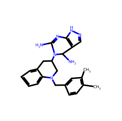 Cc1ccc(CN2CC(N3C(N)=Nc4[nH]ncc4C3N)Cc3ccccc32)cc1C